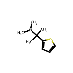 [CH3][Bi]([CH3])[C](C)(C)c1cccs1